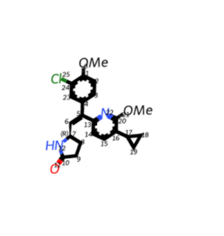 COc1ccc(C(=C[C@H]2CCC(=O)N2)c2ccc(C3CC3)c(OC)n2)cc1Cl